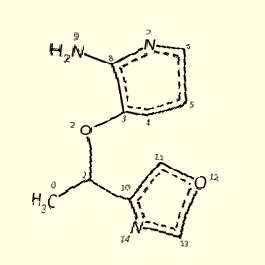 CC(Oc1cccnc1N)c1cocn1